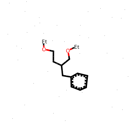 CCOCCC(COCC)Cc1ccccc1